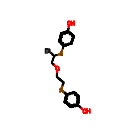 CCC(COCCSc1ccc(O)cc1)Sc1ccc(O)cc1